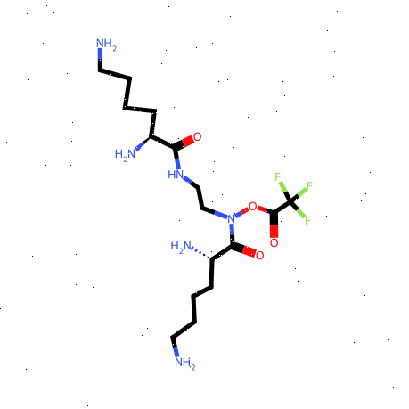 NCCCC[C@H](N)C(=O)NCCN(OC(=O)C(F)(F)F)C(=O)[C@@H](N)CCCCN